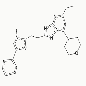 CCc1cc(N2CCOCC2)n2nc(CCc3nc(-c4ccccc4)cn3C)nc2n1